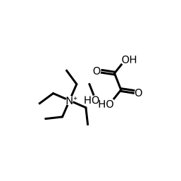 CC[N+](CC)(CC)CC.CO.O=C(O)C(=O)O